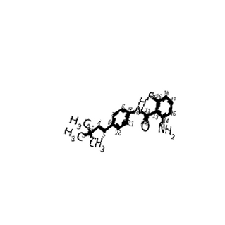 CC(C)(C)CCc1ccc(NC(=O)c2c(N)cccc2F)cc1